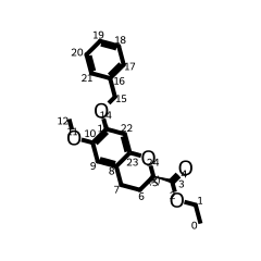 CCOC(=O)[C@H]1CCc2cc(OC)c(OCc3ccccc3)cc2O1